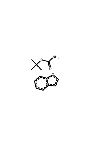 CC(C)(C)OC(N)=O.c1ccc2occc2c1